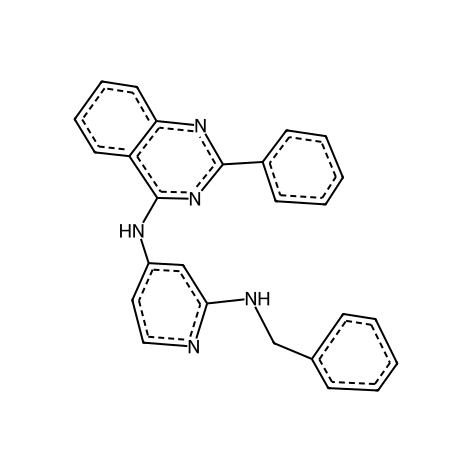 c1ccc(CNc2cc(Nc3nc(-c4ccccc4)nc4ccccc34)ccn2)cc1